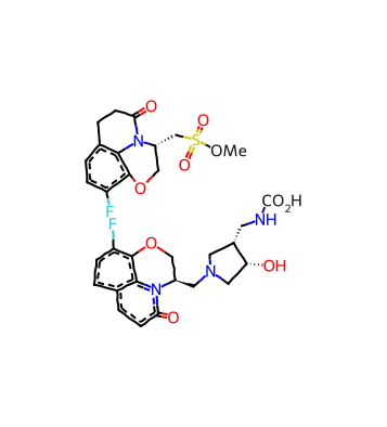 COS(=O)(=O)C[C@@H]1COc2c(F)ccc3c2N1C(=O)CC3.O=C(O)NC[C@H]1CN(C[C@@H]2COc3c(F)ccc4ccc(=O)n2c34)C[C@H]1O